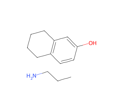 CCCN.Oc1ccc2c(c1)CCCC2